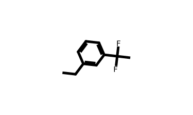 CCc1cccc(C(C)(F)F)c1